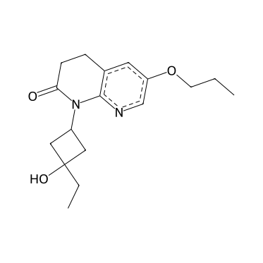 CCCOc1cnc2c(c1)CCC(=O)N2C1CC(O)(CC)C1